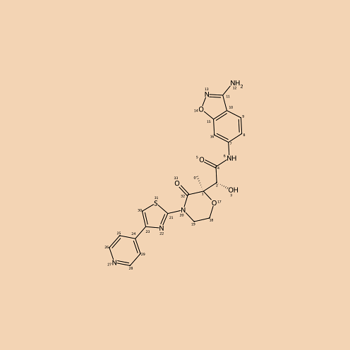 C[C@]1([C@@H](O)C(=O)Nc2ccc3c(N)noc3c2)OCCN(c2nc(-c3ccncc3)cs2)C1=O